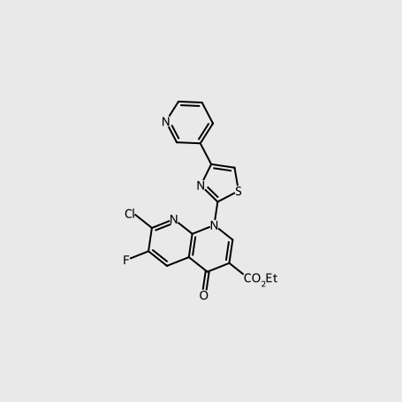 CCOC(=O)c1cn(-c2nc(-c3cccnc3)cs2)c2nc(Cl)c(F)cc2c1=O